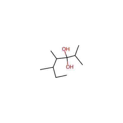 CCC(C)C(C)C(O)(O)C(C)C